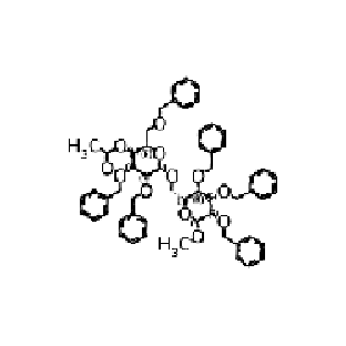 CO[C@H]1O[C@H](CO[C@@H]2O[C@H](COCc3ccccc3)[C@H](OC(C)=O)[C@H](OCc3ccccc3)[C@H]2OCc2ccccc2)[C@@H](OCc2ccccc2)[C@H](OCc2ccccc2)[C@H]1OCc1ccccc1